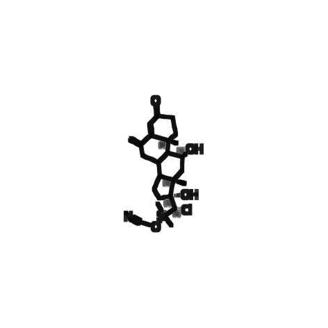 C=C1CC2C([C@@H](O)C[C@@]3(C)C2CC[C@]3(O)[C@H](Cl)[Si](C)(C)OC#N)[C@@]2(C)CCC(=O)C=C12